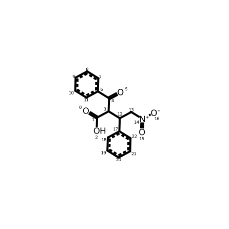 O=C(O)C(C(=O)c1ccccc1)C(C[N+](=O)[O-])c1ccccc1